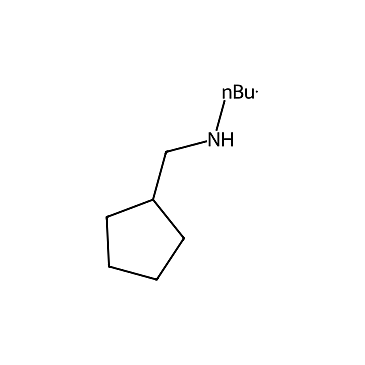 CCC[CH]NCC1CCCC1